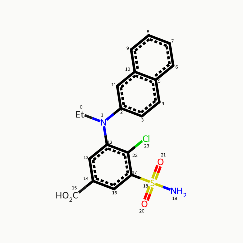 CCN(c1ccc2ccccc2c1)c1cc(C(=O)O)cc(S(N)(=O)=O)c1Cl